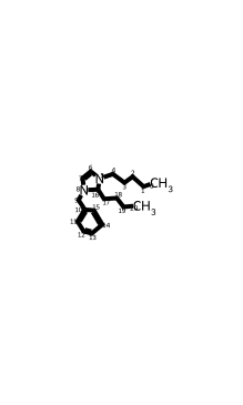 CCCCCN1C=CN(Cc2ccccc2)C1CCCC